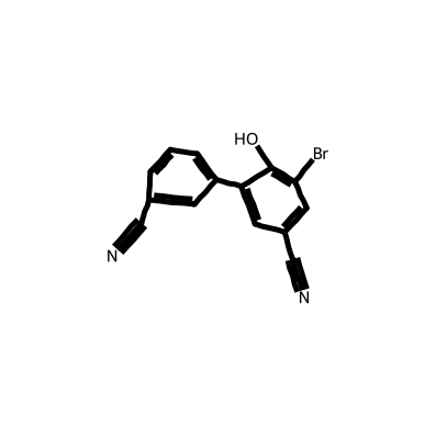 N#Cc1cccc(-c2cc(C#N)cc(Br)c2O)c1